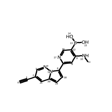 C#Cc1cnn2c(-c3cc(NC)c(B(O)O)cn3)ccc2c1